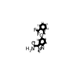 Cn1nc2ccc(OCc3ccccc3C(F)F)cc2c1C(N)=O